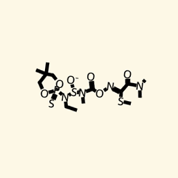 CCN([S+]([O-])N(C)C(=O)ON=C(SC)C(=O)N(C)C)P1(=S)OCC(C)(C)CO1